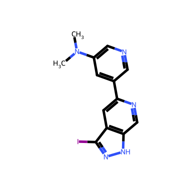 CN(C)c1cncc(-c2cc3c(I)n[nH]c3cn2)c1